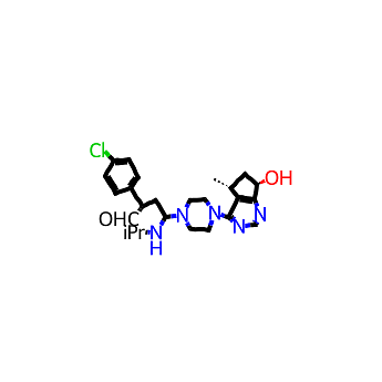 CC(C)NC(CC(C=O)c1ccc(Cl)cc1)N1CCN(c2ncnc3c2[C@H](C)C[C@H]3O)CC1